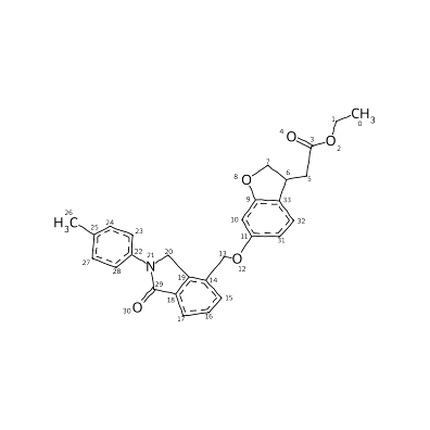 CCOC(=O)CC1COc2cc(OCc3cccc4c3CN(c3ccc(C)cc3)C4=O)ccc21